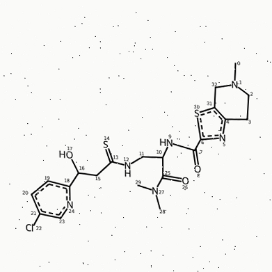 CN1CCc2nc(C(=O)NC(CNC(=S)CC(O)c3ccc(Cl)cn3)C(=O)N(C)C)sc2C1